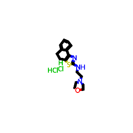 Cl.Cl.c1ccc2c(c1)CCc1sc(NCCN3CCOCC3)nc1-2